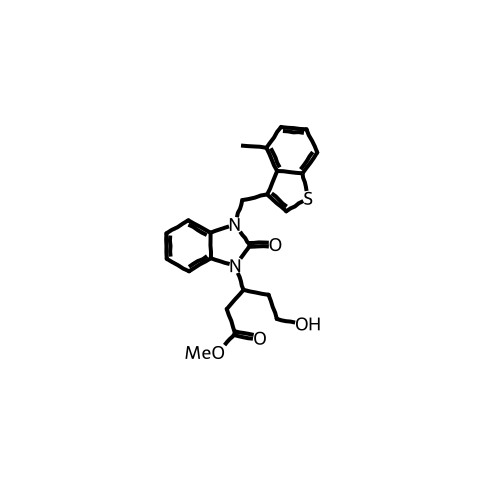 COC(=O)CC(CCO)n1c(=O)n(Cc2csc3cccc(C)c23)c2ccccc21